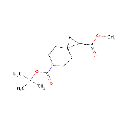 COC(=O)C1CC12CCN(C(=O)OC(C)(C)C)CC2